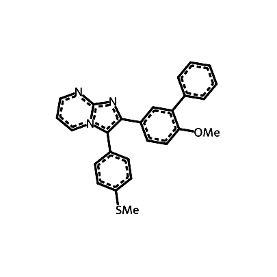 COc1ccc(-c2nc3ncccn3c2-c2ccc(SC)cc2)cc1-c1ccccc1